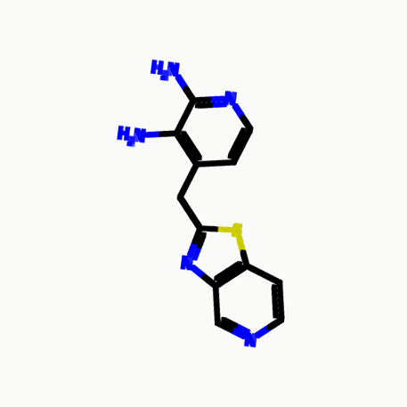 Nc1nccc(Cc2nc3cnccc3s2)c1N